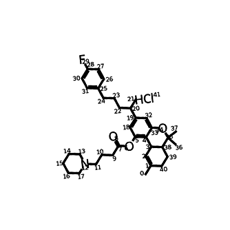 CC1=CC2c3c(OC(=O)CCCN4CCCCC4)cc(C(C)CCCc4ccc(F)cc4)cc3OC(C)(C)C2CC1.Cl